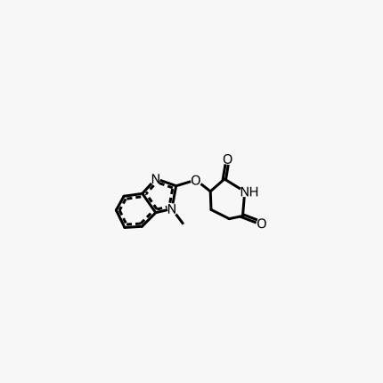 Cn1c(OC2CCC(=O)NC2=O)nc2ccccc21